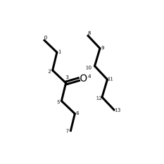 CCCC(=O)CCC.CCCCCC